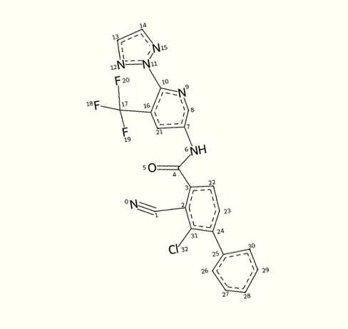 N#Cc1c(C(=O)Nc2cnc(-n3nccn3)c(C(F)(F)F)c2)ccc(-c2ccccc2)c1Cl